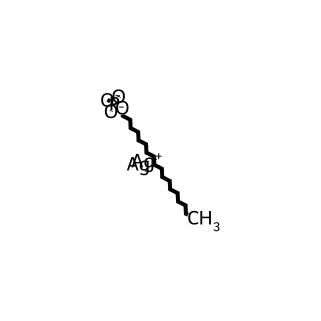 CCCCCCCCCCCCCCCCCCOP(=O)([O-])[O-].[Ag+].[Ag+]